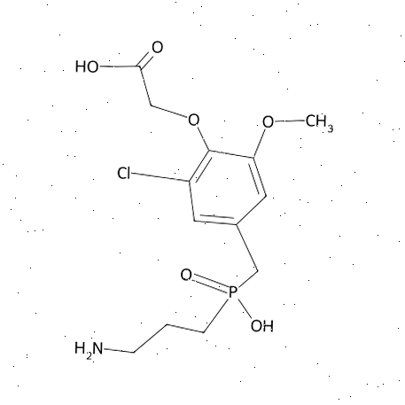 COc1cc(CP(=O)(O)CCCN)cc(Cl)c1OCC(=O)O